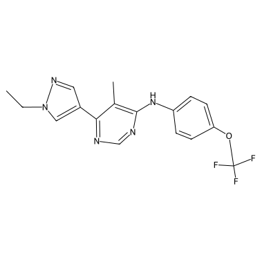 CCn1cc(-c2ncnc(Nc3ccc(OC(F)(F)F)cc3)c2C)cn1